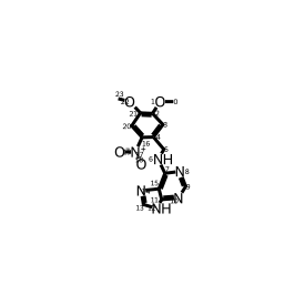 COc1cc(CNc2ncnc3[nH]cnc23)c([N+](=O)[O-])cc1OC